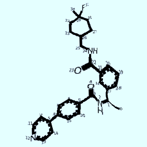 C[C@@H](NC(=O)c1ccc(-c2ccncc2)cc1)c1cccc(C(=O)NCC2CCC(C)(F)CC2)c1